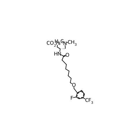 CN(C)C[C@@H](CC(=O)O)NC(=O)CCCCCCCOCc1ccc(C(F)(F)F)cc1F